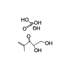 C=C(C)C(=O)C(O)CO.O=P(O)(O)O